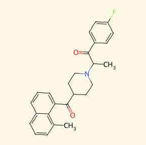 Cc1cccc2cccc(C(=O)C3CCN(C(C)C(=O)c4ccc(F)cc4)CC3)c12